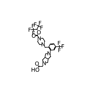 O=C(O)CN1CC2CN(c3cc(C(F)(F)F)ccc3CN3CCN(C(=O)OC(C(F)(F)F)C(F)(F)F)CC3)CC2C1